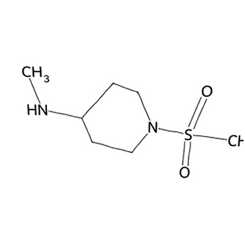 CNC1CCN(S(C)(=O)=O)CC1